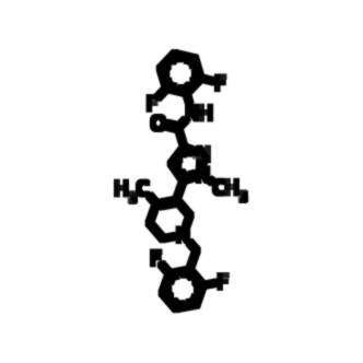 CC1=C(c2cc(C(=O)Nc3c(F)cccc3F)nn2C)CN(Cc2c(F)cccc2F)CC1